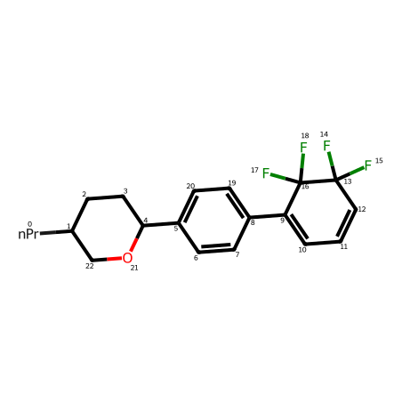 CCCC1CCC(c2ccc(C3=CC=CC(F)(F)C3(F)F)cc2)OC1